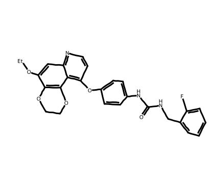 CCOc1cc2nccc(Oc3ccc(NC(=O)NCc4ccccc4F)cc3)c2c2c1OCCO2